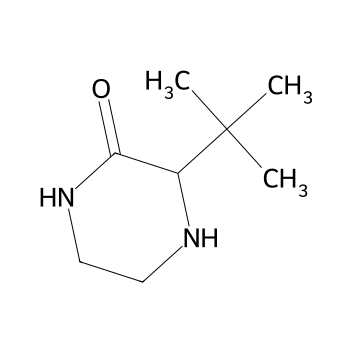 CC(C)(C)C1NCCNC1=O